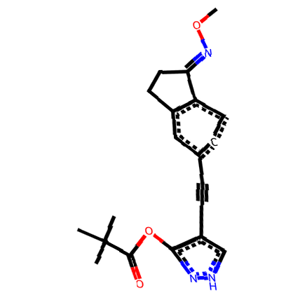 CON=C1CCc2cc(C#Cc3c[nH]nc3OC(=O)C(C)(C)C)ccc21